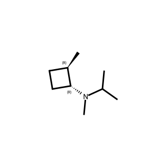 CC(C)N(C)[C@@H]1CC[C@H]1C